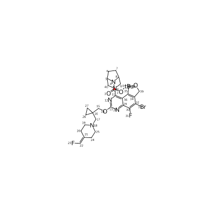 CC(C)(C)OC(=O)N1C2CCC1CN(c1nc(OCC3(CN4CCC(=CF)CC4)CC3)nc3c(F)c(Br)c4c(c13)COC4)C2